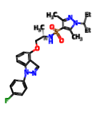 CCC(CC)n1nc(C)c(S(=O)(=O)N[C@@H](C)COc2cccc3c2cnn3-c2ccc(F)cc2)c1C